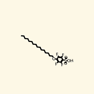 CCCCCCCCCCCCCCCCOc1c(F)c(F)c(S(=O)(=O)O)c(F)c1F